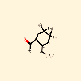 [2H]C(=O)C1CC([2H])([2H])C([2H])([2H])CC1CC(=O)OCC